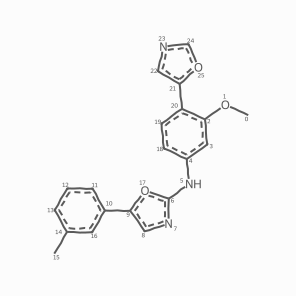 COc1cc(Nc2ncc(-c3cccc(C)c3)o2)ccc1-c1cnco1